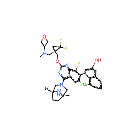 CN(C[C@@]1(COc2nc(N3C[C@H]4CC[C@@](C)(C3)N4)c3cc(F)c(-c4cc(O)cc5cccc(Cl)c45)c(F)c3n2)CC1(F)F)C1COC1